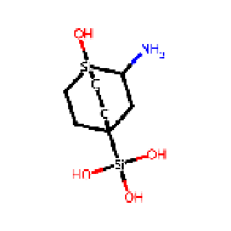 NC1CC2([Si](O)(O)O)CC[Si]1(O)CC2